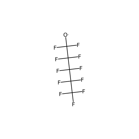 [O]C(F)(F)C(F)(F)C(F)(F)C(F)(F)C(F)(F)F